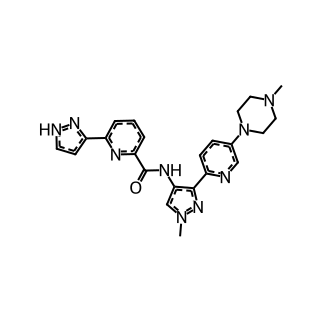 CN1CCN(c2ccc(-c3nn(C)cc3NC(=O)c3cccc(-c4cc[nH]n4)n3)nc2)CC1